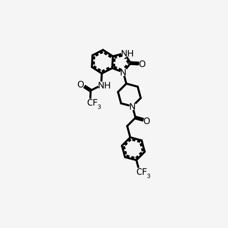 O=C(Cc1ccc(C(F)(F)F)cc1)N1CCC(n2c(=O)[nH]c3cccc(NC(=O)C(F)(F)F)c32)CC1